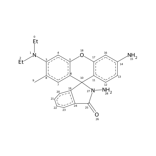 CCN(CC)c1cc2c(cc1C)C1(c3ccc(N)cc3O2)c2ccccc2C(=O)N1N